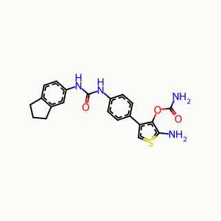 NC(=O)Oc1c(-c2ccc(NC(=O)Nc3ccc4c(c3)CCC4)cc2)csc1N